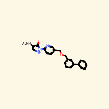 CC(=O)Nc1c[nH]n(-c2ccc(COCc3cccc(-c4ccccc4)c3)cn2)c1=O